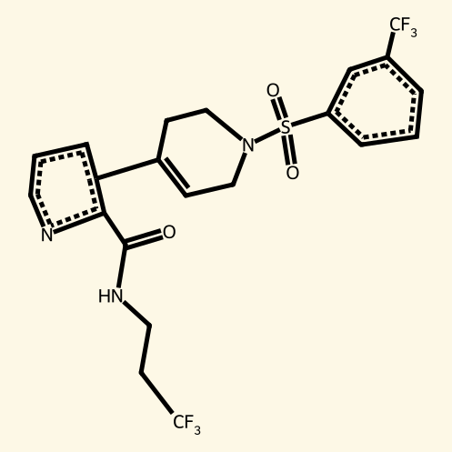 O=C(NCCC(F)(F)F)c1ncccc1C1=CCN(S(=O)(=O)c2cccc(C(F)(F)F)c2)CC1